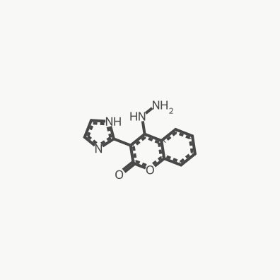 NNc1c(-c2ncc[nH]2)c(=O)oc2ccccc12